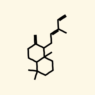 C=C/C(C)=C/CC1C(=C)CCC2C(C)(C)CCCC12C